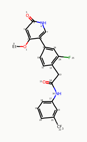 CCOc1cc(=O)[nH]cc1-c1ccc(CC(=O)Nc2cccc(C(F)(F)F)c2)c(F)c1